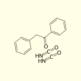 N=C=O.N=C=O.O=C(Cc1ccccc1)c1ccccc1